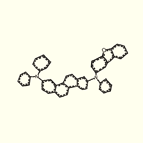 c1ccc(N(c2ccccc2)c2ccc3ccc4c5ccc(N(c6ccccc6)c6ccc7oc8ccccc8c7c6)cc5ccc4c3c2)cc1